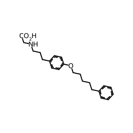 O=C(O)CNCCCc1ccc(OCCCCCc2ccccc2)cc1